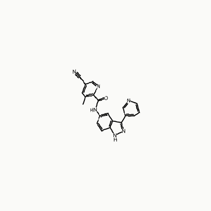 Cc1cc(C#N)cnc1C(=O)Nc1ccc2[nH]nc(-c3cccnc3)c2c1